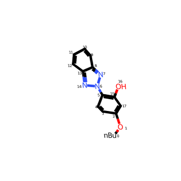 CCCCOc1ccc(-n2nc3ccccc3n2)c(O)c1